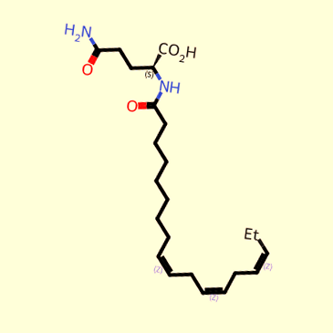 CC/C=C\C/C=C\C/C=C\CCCCCCCC(=O)N[C@@H](CCC(N)=O)C(=O)O